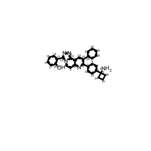 NC1(c2ccc(-c3nc4ccn5c(-c6ccccc6O)nnc5c4cc3-c3ccccc3)cc2)CCC1